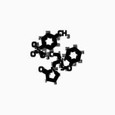 CC[N+]1(CN2CCCC2=O)SOc2ccccc21.Cc1ccc(S(=O)(=O)[O-])cc1